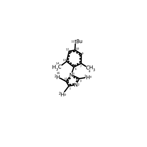 [2H]c1nc([2H])n(-c2c(C)cc(C(C)(C)C)cc2C)c1[2H]